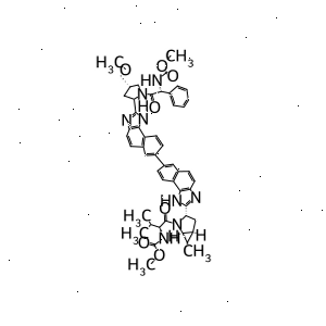 COC[C@H]1CC(c2nc3ccc4cc(-c5ccc6c(ccc7nc([C@@H]8C[C@H]9[C@@H](C)[C@H]9N8C(=O)[C@@H](NC(=O)OC)C(C)C)[nH]c76)c5)ccc4c3[nH]2)N(C(=O)[C@H](NC(=O)OC)c2ccccc2)C1